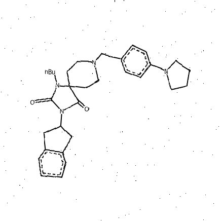 CCCCN1C(=O)N(C2Cc3ccccc3C2)C(=O)C12CCN(Cc1ccc(N3CCCC3)cc1)CC2